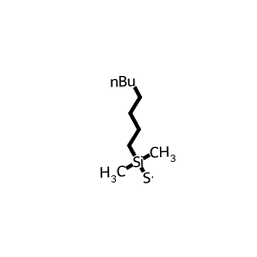 CCCCCCCC[Si](C)(C)[S]